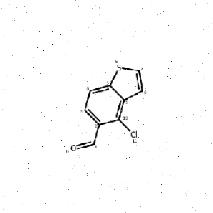 O=Cc1ccc2sccc2c1Cl